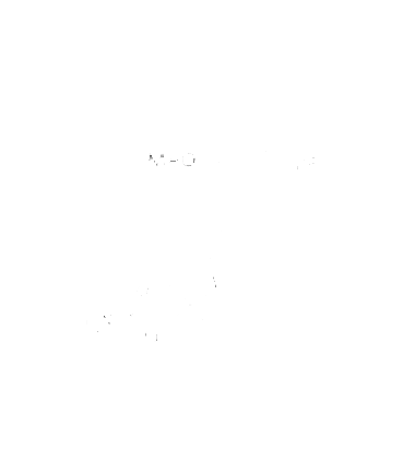 COc1ccc(C(F)(F)F)cc1-c1ccc2c(c1)CC(C)(C)C2OC(N)=O